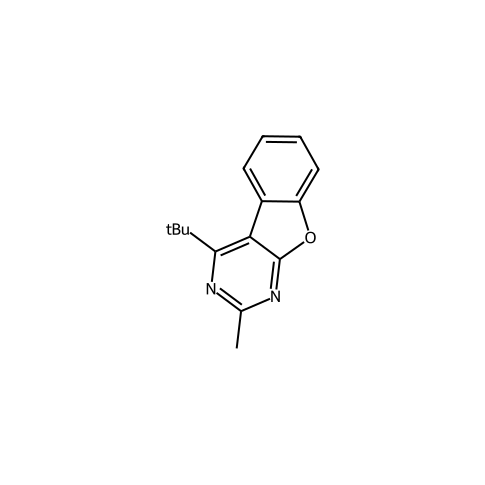 Cc1nc(C(C)(C)C)c2c(n1)oc1ccccc12